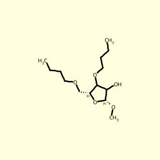 CCCCOC[C@H]1O[C@@H](OC)C(O)C1OCCCC